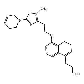 Cc1sc(N2CC=CCC2)nc1CCOc1cccc2c1CCC=C2CCC(=O)O